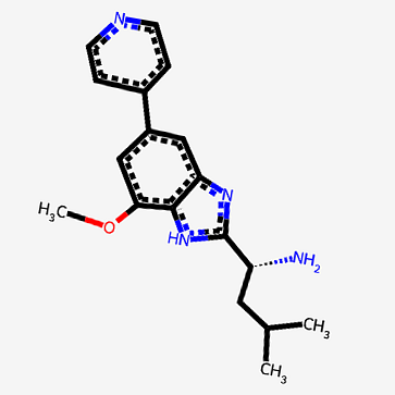 COc1cc(-c2ccncc2)cc2nc([C@H](N)CC(C)C)[nH]c12